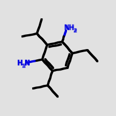 CCc1cc(C(C)C)c(N)c(C(C)C)c1N